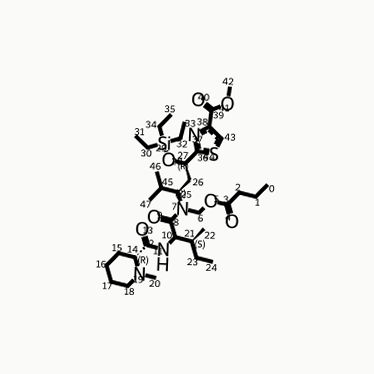 CCCC(=O)OCN(C(=O)C(NC(=O)[C@H]1CCCCN1C)[C@@H](C)CC)[C@H](C[C@@H](O[Si](CC)(CC)CC)c1nc(C(=O)OC)cs1)C(C)C